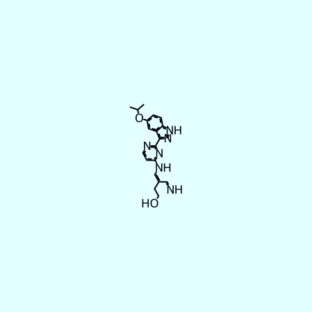 CC(C)Oc1ccc2[nH]nc(-c3nccc(N/C=C(\C=N)CCO)n3)c2c1